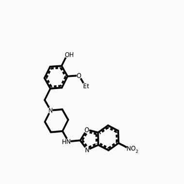 CCOc1cc(CN2CCC(Nc3nc4cc([N+](=O)[O-])ccc4o3)CC2)ccc1O